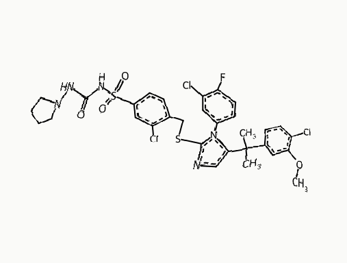 COc1cc(C(C)(C)c2cnc(SCc3ccc(S(=O)(=O)NC(=O)NN4CCCC4)cc3Cl)n2-c2ccc(F)c(Cl)c2)ccc1Cl